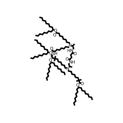 CCCCCCCCC(CCCCCCCC)OC(=O)CCCCCCCN(CCCCCCCC(=O)OC(CCCCCCCC)CCCCCCCC)C(C)CNC(=O)CCC(=O)NCC(C)N(CCCCCCC(C)(C)C(=O)OC(CCCCCCCC)CCCCCCCC)CCCCCCC(C)(C)/C(=C\S)OC(CCCCCCCC)CCCCCCCC